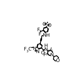 C[C@H]1CN(C2CCOCC2)C[C@H](F)[C@@H]1NC(=O)c1cc(C#CCNc2ccc(S(C)(=O)=O)cc2C(F)F)cc2c1ncn2CC(F)(F)F